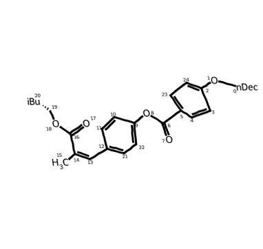 CCCCCCCCCCOc1ccc(C(=O)Oc2ccc(C=C(C)C(=O)OC[C@@H](C)CC)cc2)cc1